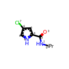 CC(C)NC(=O)c1cc(Cl)c[nH]1